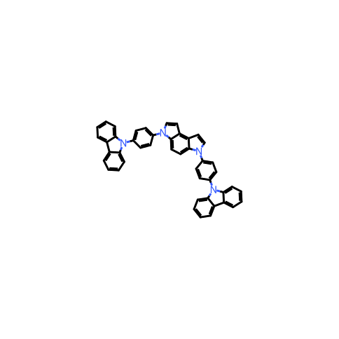 c1ccc2c(c1)c1ccccc1n2-c1ccc(-n2ccc3c4ccn(-c5ccc(-n6c7ccccc7c7ccccc76)cc5)c4ccc32)cc1